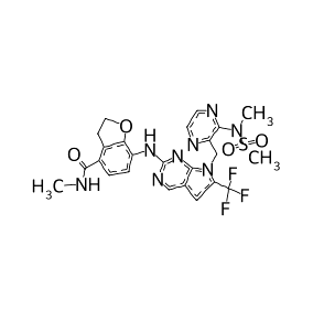 CNC(=O)c1ccc(Nc2ncc3cc(C(F)(F)F)n(Cc4nccnc4N(C)S(C)(=O)=O)c3n2)c2c1CCO2